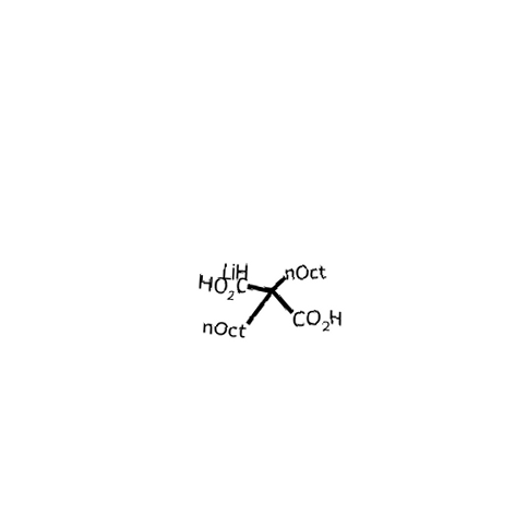 CCCCCCCCC(CCCCCCCC)(C(=O)O)C(=O)O.[LiH]